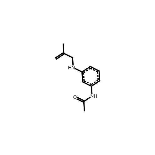 C=C(C)CNc1cccc(NC(C)=O)c1